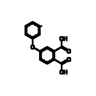 O=C(O)c1ccc(Oc2c[c]ccc2)cc1C(=O)O